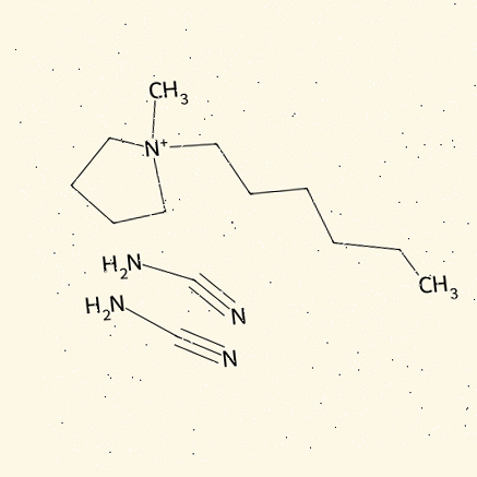 CCCCCC[N+]1(C)CCCC1.N#CN.N#CN